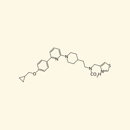 O=C(O)N(CCC1CCN(c2cccc(-c3ccc(OCC4CC4)cc3)n2)CC1)Cc1cscn1